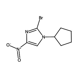 O=[N+]([O-])c1cn(C2CCCC2)c(Br)n1